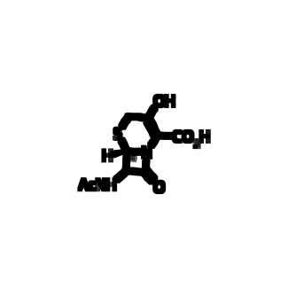 CC(=O)NC1C(=O)N2C(C(=O)O)=C(O)CS[C@@H]12